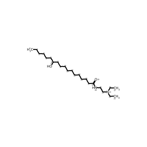 CCCCCCC(O)CCCCCCCCCCC(=O)NCCN(CC)CC